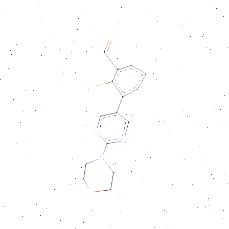 O=Cc1cccc(-c2cnc(N3CCOCC3)nc2)c1F